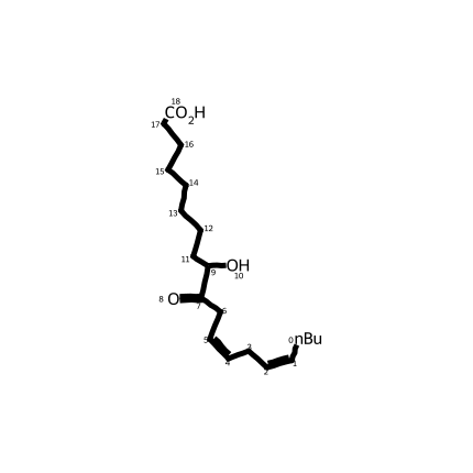 CCCC/C=C\C/C=C\CC(=O)C(O)CCCCCCCC(=O)O